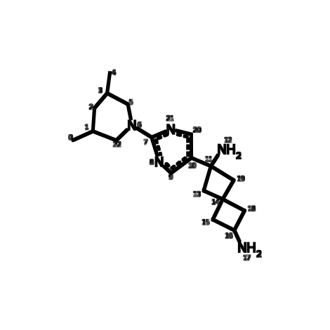 CC1CC(C)CN(c2ncc(C3(N)CC4(CC(N)C4)C3)cn2)C1